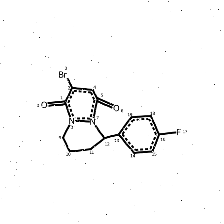 O=c1c(Br)cc(=O)n2n1CCCC2c1ccc(F)cc1